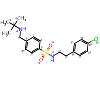 CC(C)(C)NCc1ccc(S(=O)(=O)NCCc2ccc(Cl)cc2)cc1